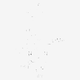 COC=Cc1nc(C)c([C@H](OC(C)(C)C)C(=O)OC(C)C)c(N2CCC(C)(C)CC2)c1-c1ccc(OCCc2ccc(F)cc2)cc1